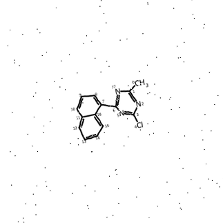 Cc1nc(Cl)nc(-c2cccc3ccccc23)n1